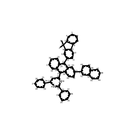 CC1(C)c2ccccc2-c2ccc(-c3c4ccccc4c(-c4cc(-c5ccccc5)nc(-c5ccccc5)n4)c4ccc(-c5ccc6ccccc6c5)cc34)cc21